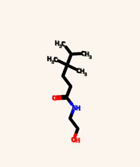 CC(C)C(C)(C)CCC(=O)NCCO